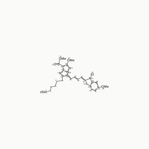 CCCCCCCCCCCCCCCc1nc2c(C(=O)OC)c(OC)nn2\c1=C/C=C/C=C1\Sc2ccc(OC)cc2N1CC